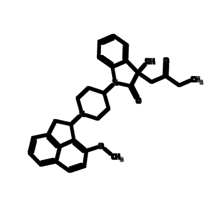 CCC(=O)CC1(O)C(=O)N(C2CCN(C3Cc4cccc5ccc(OC)c3c45)CC2)c2ccccc21